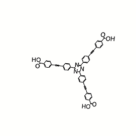 O=C(O)c1ccc(C#Cc2ccc(-c3nc(-c4ccc(C#Cc5ccc(C(=O)O)cc5)cc4)nc(-c4ccc(C#Cc5ccc(C(=O)O)cc5)cc4)n3)cc2)cc1